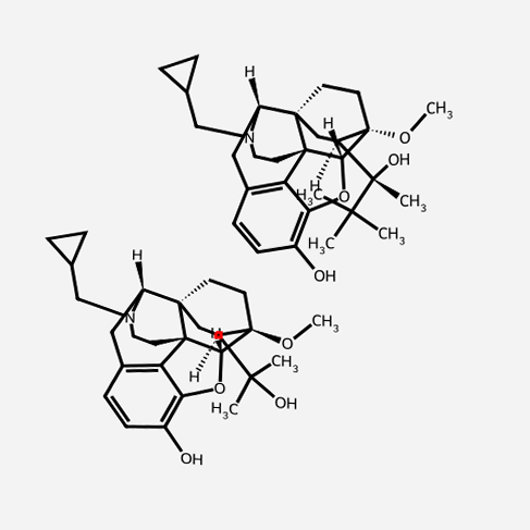 CO[C@@]12CC[C@@]3(C[C@@H]1[C@](C)(O)C(C)(C)C)[C@H]1Cc4ccc(O)c5c4[C@@]3(CCN1CC1CC1)[C@H]2O5.CO[C@]12CC[C@@]3(C[C@@H]1C(C)(C)O)[C@H]1Cc4ccc(O)c5c4[C@@]3(CCN1CC1CC1)[C@H]2O5